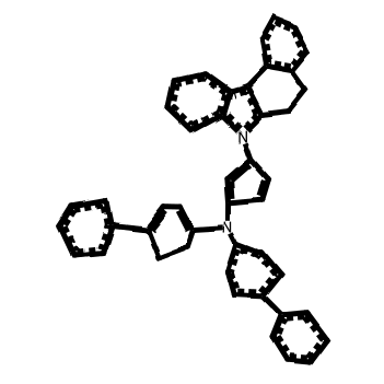 C1=C(N(C2=CC=C(c3ccccc3)CC2)c2ccc(-c3ccccc3)cc2)C=CC=1n1c2c(c3ccccc31)-c1ccccc1CC2